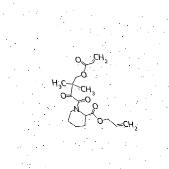 C=CCOC(=O)C1CCCCN1C(=O)C(=O)C(C)(C)COC(=O)C=C